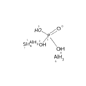 O=P(O)(O)O.[AlH3].[AlH3].[SiH4]